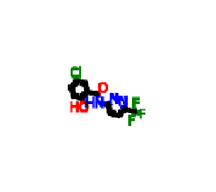 O=C(Nc1ccc(C(F)(F)F)nn1)c1cc(Cl)ccc1O